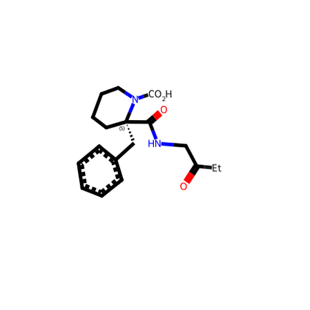 CCC(=O)CNC(=O)[C@@]1(Cc2ccccc2)CCCCN1C(=O)O